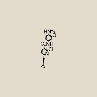 O=C(Nc1ccc2c(c1)OCCN2)c1ccc(C#CC2CC2)nc1Cl